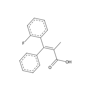 CC(C(=O)O)=C(c1ccccc1)c1ccccc1F